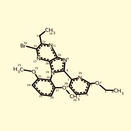 CCOc1cccc(-c2nc3nc(CC)c(Br)nc3n2-c2c(OC)cccc2OC)n1